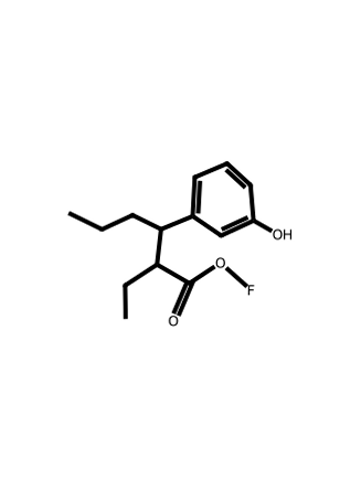 CCCC(c1cccc(O)c1)C(CC)C(=O)OF